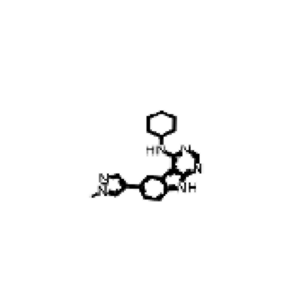 Cn1cc(-c2ccc3[nH]c4ncnc(NC5CCCCC5)c4c3c2)cn1